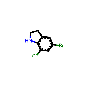 Clc1cc(Br)cc2c1NCC2